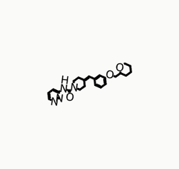 O=C(Nc1cccnn1)N1CCC(=Cc2cccc(OCC3CCCCO3)c2)CC1